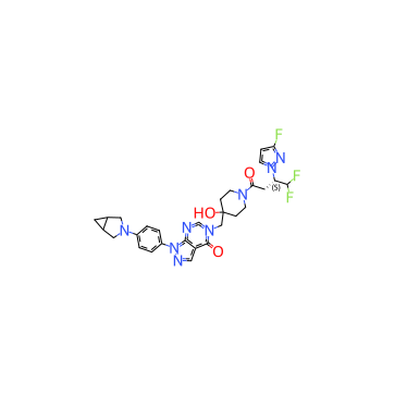 O=C(C[C@@H](C(F)F)n1ccc(F)n1)N1CCC(O)(Cn2cnc3c(cnn3-c3ccc(N4CC5CC5C4)cc3)c2=O)CC1